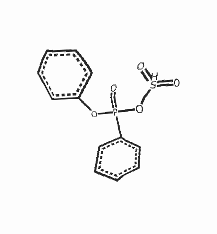 O=[SH](=O)OP(=O)(Oc1ccccc1)c1ccccc1